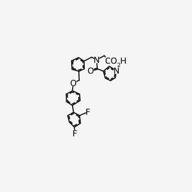 O=C(O)CN(Cc1cccc(COc2ccc(-c3ccc(F)cc3F)cc2)c1)C(=O)c1cccnc1